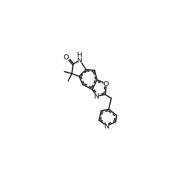 CC1(C)C(=O)Nc2cc3oc(Cc4ccncc4)nc3cc21